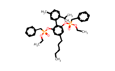 C=C(C)c1ccc(C)cc1-c1c(OP(=O)(Cc2ccccc2)OCC)cc(CCCCC)cc1OP(=O)(Cc1ccccc1)OCC